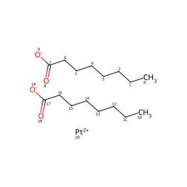 CCCCCCCC(=O)[O-].CCCCCCCC(=O)[O-].[Pt+2]